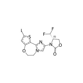 O=C1OC[C@@H](C(F)F)N1c1cn2c(n1)-c1sc(I)cc1OCC2